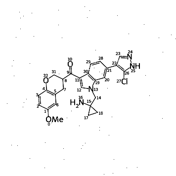 COc1ccc2c(c1)CC(C(=O)c1cn(CC3(N)CC3)c3cc(-c4cn[nH]c4Cl)ccc13)CO2